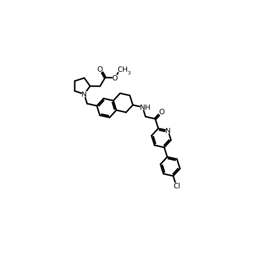 COC(=O)CC1CCCN1Cc1ccc2c(c1)CCC(NCC(=O)c1ccc(-c3ccc(Cl)cc3)cn1)C2